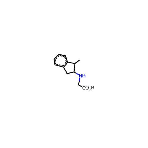 CC1c2ccccc2CC1NCC(=O)O